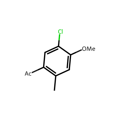 COc1cc(C)c(C(C)=O)cc1Cl